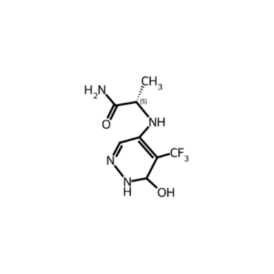 C[C@H](NC1=C(C(F)(F)F)C(O)NN=C1)C(N)=O